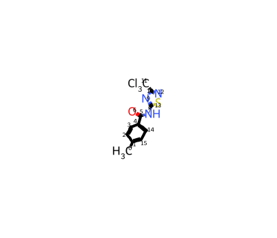 Cc1ccc(C(=O)Nc2nc(C(Cl)(Cl)Cl)ns2)cc1